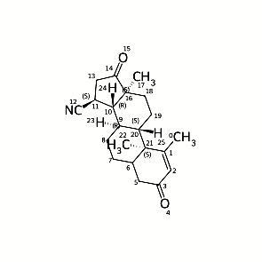 CC1=CC(=O)CC2CC[C@H]3[C@@H]4[C@@H](C#N)CC(=O)[C@@]4(C)CC[C@@H]3[C@@]12C